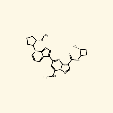 CNc1cc(-c2cnc3n(C4COC[C@@H]4OC)cccc2-3)nc2c(C(=O)NC3CC[C@H]3O)cnn12